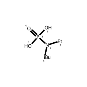 CCC(C)N(CC)P(=O)(O)O